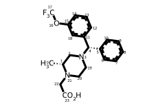 C[C@@H]1CN([C@@H](c2ccccc2)c2cccc(OC(F)(F)F)c2)CCN1CC(=O)O